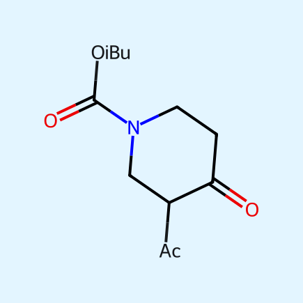 CC(=O)C1CN(C(=O)OCC(C)C)CCC1=O